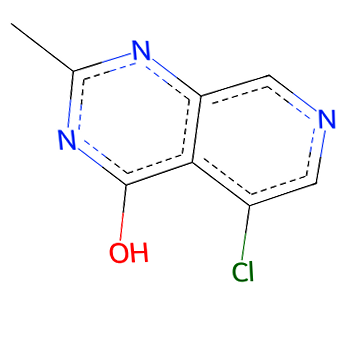 Cc1nc(O)c2c(Cl)cncc2n1